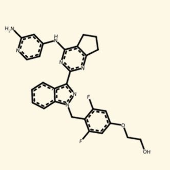 Nc1cc(Nc2nc(-c3nn(Cc4c(F)cc(OCCO)cc4F)c4ccccc34)nc3c2CCC3)ccn1